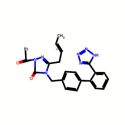 C/C=C/Cc1nn(C(=O)CC)c(=O)n1Cc1ccc(-c2ccccc2-c2nnn[nH]2)cc1